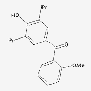 COc1ccccc1C(=O)c1cc(C(C)C)c(O)c(C(C)C)c1